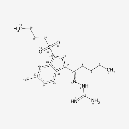 CCCCC(=NNC(=N)N)c1cn(S(=O)(=O)CCCC)c2cc(F)ccc12